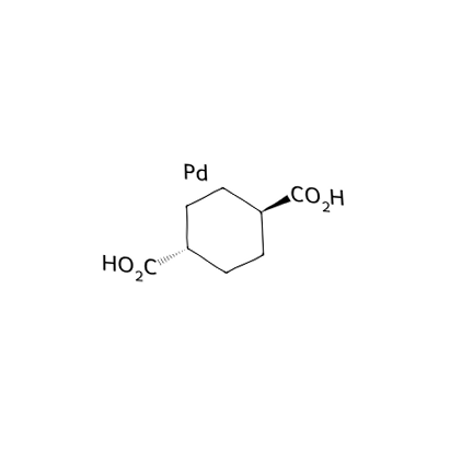 O=C(O)[C@H]1CC[C@H](C(=O)O)CC1.[Pd]